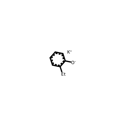 CCc1ccccc1[O-].[K+]